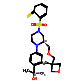 CC1(COC[C@H]2CN(S(=O)(=O)C3=CC=CCC3=S)CCN2c2ccc([C@](C)(O)C(F)(F)F)cc2)COC1